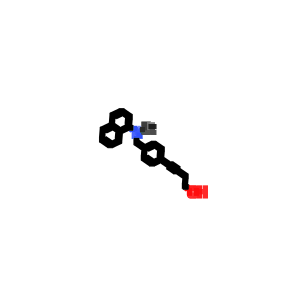 CCN(Cc1ccc(C#CCCO)cc1)c1cccc2ccccc12